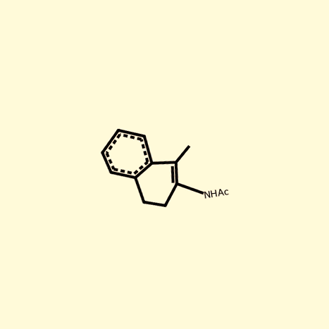 CC(=O)NC1=C(C)c2ccccc2CC1